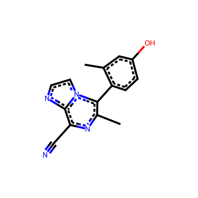 Cc1cc(O)ccc1-c1c(C)nc(C#N)c2nccn12